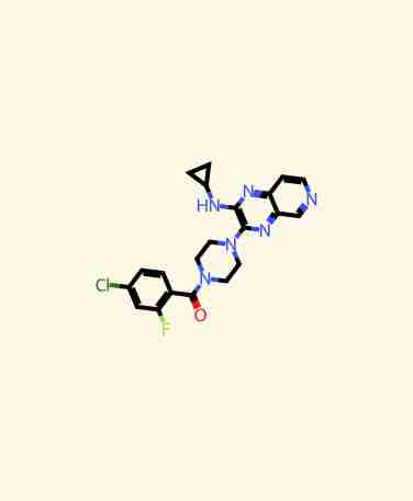 O=C(c1ccc(Cl)cc1F)N1CCN(c2nc3cnccc3nc2NC2CC2)CC1